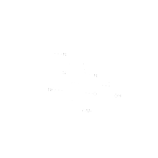 COc1cc(C#N)c(N=CN(C)C)cc1OC([C@H](C)O)N1CC=CC1